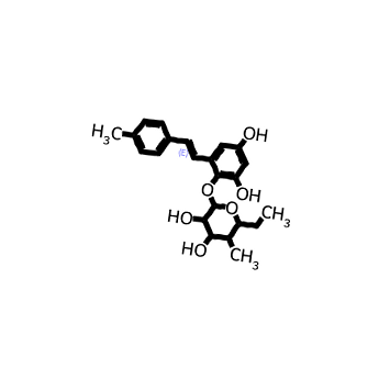 CCC1OC(Oc2c(O)cc(O)cc2/C=C/c2ccc(C)cc2)C(O)C(O)C1C